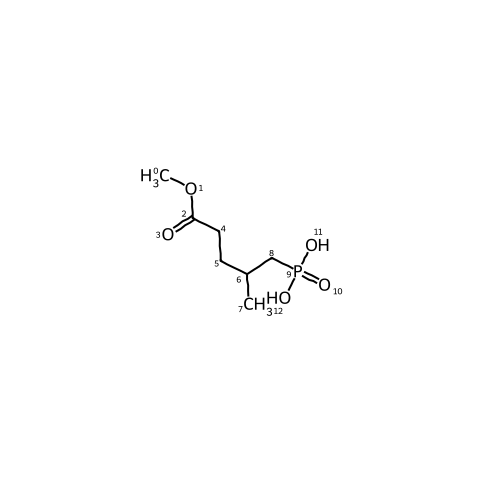 COC(=O)CCC(C)CP(=O)(O)O